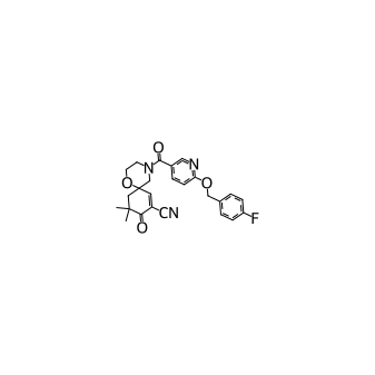 CC1(C)CC2(C=C(C#N)C1=O)CN(C(=O)c1ccc(OCc3ccc(F)cc3)nc1)CCO2